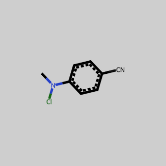 CN(Cl)c1ccc(C#N)cc1